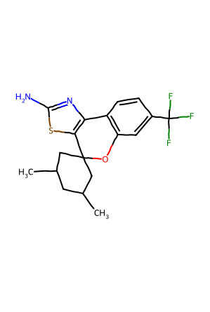 CC1CC(C)CC2(C1)Oc1cc(C(F)(F)F)ccc1-c1nc(N)sc12